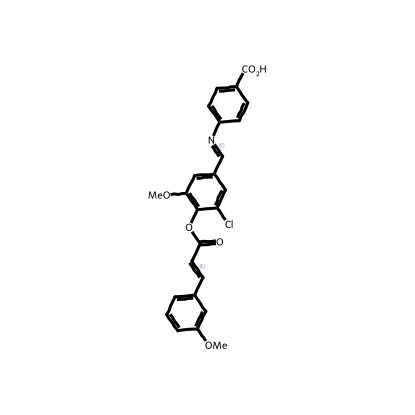 COc1cccc(/C=C/C(=O)Oc2c(Cl)cc(/C=N/c3ccc(C(=O)O)cc3)cc2OC)c1